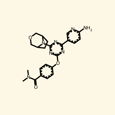 CN(C)C(=O)c1ccc(Oc2nc(-c3ccc(N)nc3)nc(N3C4CCC3COC4)n2)cc1